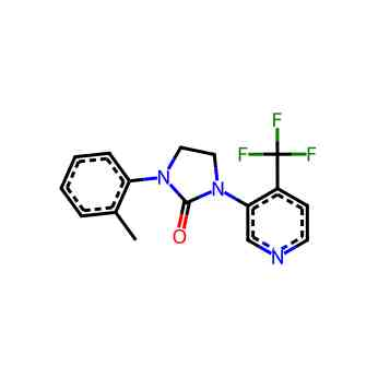 Cc1ccccc1N1CCN(c2cnccc2C(F)(F)F)C1=O